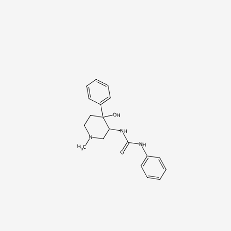 CN1CCC(O)(c2ccccc2)C(NC(=O)Nc2ccccc2)C1